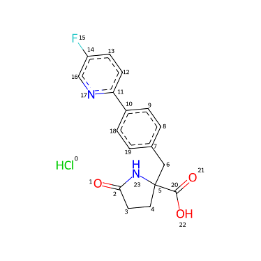 Cl.O=C1CCC(Cc2ccc(-c3ccc(F)cn3)cc2)(C(=O)O)N1